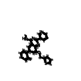 CNc1nc(-c2cccnc2)nc2c(OCc3cccs3)cc(-c3ccccc3F)cc12